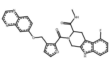 CNC(=O)C1Cc2c([nH]c3cccc(F)c23)CN1C(=O)c1occc1COc1ccc2nccnc2c1